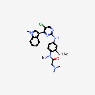 CCN(C(=O)CN(C)C)c1ccc(Nc2ncc(Cl)c(-c3cn(C)c4ccccc34)n2)cc1NC(C)=O